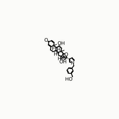 C[C@]12C=CC(=O)C=C1CC[C@H]1[C@@H]3C[C@H]4O[C@@H](c5ccn(Cc6cccc(CO)c6)c5)O[C@@]4(C(=O)CO)[C@@]3(C)C[C@H](O)[C@@]12F